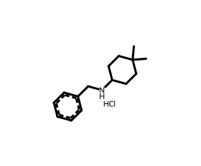 CC1(C)CCC(NCc2ccccc2)CC1.Cl